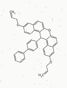 C=CCOc1ccc2c3c(ccc2c1)Oc1ccc2cc(OCC=C)ccc2c1C3c1ccc(-c2ccccc2)cc1